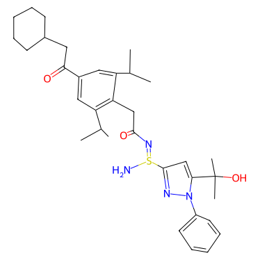 CC(C)c1cc(C(=O)CC2CCCCC2)cc(C(C)C)c1CC(=O)/N=S(\N)c1cc(C(C)(C)O)n(-c2ccccc2)n1